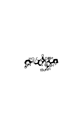 CO[C@]1(NC(=O)C(NC(=O)NC(C)(C)C)c2cccs2)C(=O)N2C(C(=O)O)=C(CSc3ccc[n+]([O-])n3)CSC21